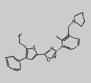 Cc1c(CN2CCCC2)cccc1-c1noc(-c2cc(-c3ccccc3)c(CF)s2)n1